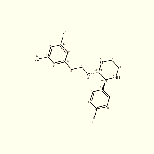 Fc1ccc([C@@H]2NCCO[C@H]2OCCc2cc(F)cc(C(F)(F)F)c2)cc1